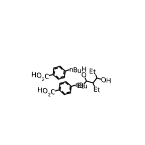 CCC(O)C(CC)C(O)CC.CCCCc1ccc(C(=O)O)cc1.CCCCc1ccc(C(=O)O)cc1